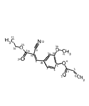 C=CC(=O)Oc1ccc(/C=C(\C#N)C(=O)OCC)cc1OC